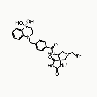 CC(C)CN1CC(NC(=O)c2ccc(CN3CCS(O)(O)c4ccccc43)cc2)C2(C1)NC(=O)NC2=O